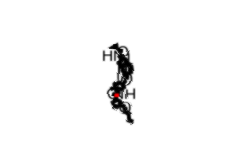 CCCCOc1cccc(C(=O)Nc2cc(Oc3ccc4nc(NC(=O)C5CC5)cn4n3)ccc2C)c1